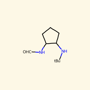 CC(C)(C)NC1CCCC1NC=O